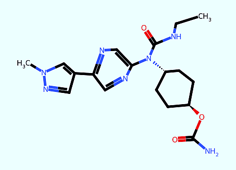 CCNC(=O)N(c1cnc(-c2cnn(C)c2)cn1)[C@H]1CC[C@H](OC(N)=O)CC1